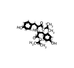 CC(C)OC(=O)C(Cc1ccc(O)cc1)NC(Cc1ccc(O)cc1)C(=O)OC(C)C